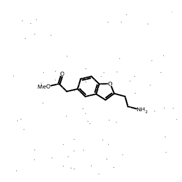 COC(=O)Cc1ccc2oc(CCN)cc2c1